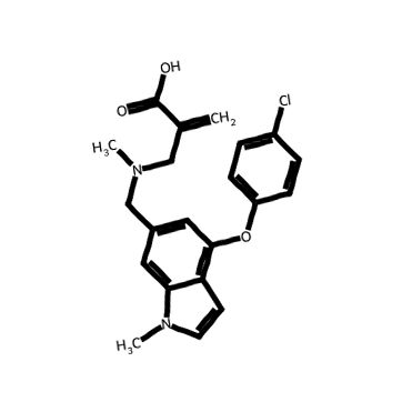 C=C(CN(C)Cc1cc(Oc2ccc(Cl)cc2)c2ccn(C)c2c1)C(=O)O